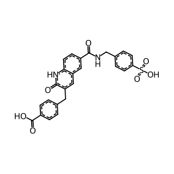 O=C(O)c1ccc(Cc2cc3cc(C(=O)NCc4ccc(S(=O)(=O)O)cc4)ccc3[nH]c2=O)cc1